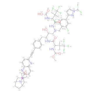 COC(=O)NC(C(=O)NC(Cc1ccc(C#Cc2ccc3nc(N4CC5CCC(C4)N5C4COC4)ccc3n2)cc1)C(O)CN(Cc1c(F)cc(-c2ccn(C(F)F)n2)cc1F)NC(=O)C(NC(=O)O)C(C)(C)C(F)(F)F)C(C)(C)C(F)(F)F